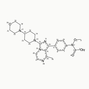 CON(C(=O)O)c1ccc(-c2nc(N3CCC(N4CCOCC4)CC3)n3ccnc(C)c23)cc1